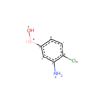 Nc1cc(BO)ccc1Cl